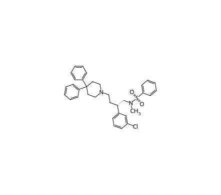 CN(C[C@@H](CCN1CCC(c2ccccc2)(c2ccccc2)CC1)c1cccc(Cl)c1)S(=O)(=O)c1ccccc1